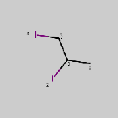 CC(I)[CH]I